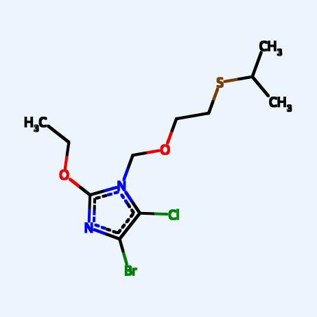 CCOc1nc(Br)c(Cl)n1COCCSC(C)C